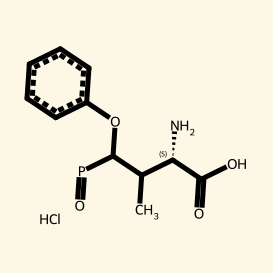 CC(C(Oc1ccccc1)P=O)[C@H](N)C(=O)O.Cl